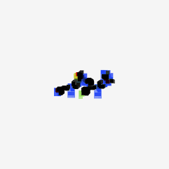 Cc1nc(N2CCC(NCCC(c3ccc(F)cc3)c3cccc(-c4nc(N5CCC(NCCCc6ccncc6)CC5)c5scc(C)c5n4)n3)CC2)c2cnn(C)c2n1